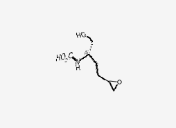 O=C(O)N[C@H](CO)CCC1CO1